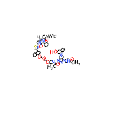 C=CC(=O)N1CCN(c2nc(OC(C)CN3CCC(OCCOCCOc4ccc(-c5csc([C@@H]6CCCN6C(=O)C(NC(=O)C(C)NC)C6CCCCC6)n5)c5ccccc45)CC3)nc3c2CCN(c2cc(O)cc4ccccc24)C3)CC1